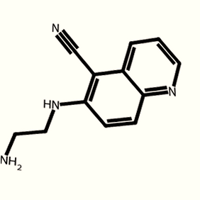 N#Cc1c(NCCN)ccc2ncccc12